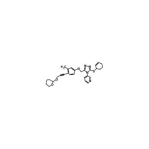 Cc1cc(OCc2nnc(SC3C=CCCC3)n2-c2cccnc2)ccc1C#CCOC1CCCCO1